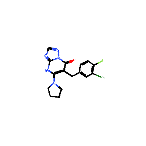 O=c1c(Cc2ccc(F)c(Cl)c2)c(N2CCCC2)[nH]c2ncnn12